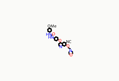 [C-]#[N+]c1cc2c(Oc3ccc(NC(=O)Nc4ccc(OC)cc4)cc3)ccnc2cc1OCCN1CCOCC1